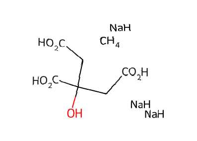 C.O=C(O)CC(O)(CC(=O)O)C(=O)O.[NaH].[NaH].[NaH]